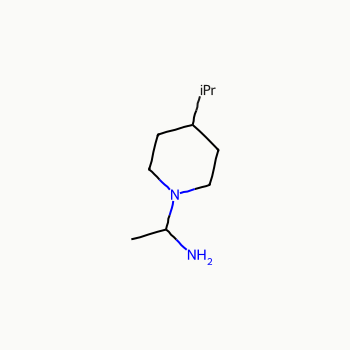 CC(C)C1CCN(C(C)N)CC1